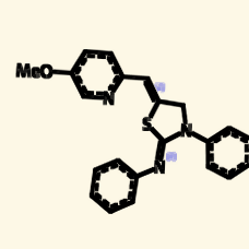 COc1ccc(/C=C2/CN(c3ccccc3)/C(=N/c3ccccc3)S2)nc1